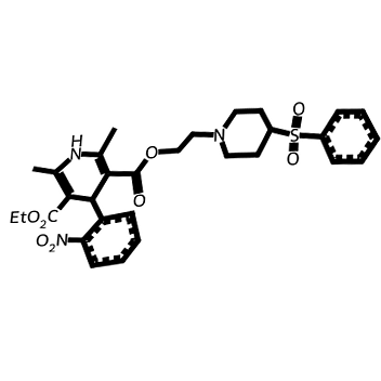 CCOC(=O)C1=C(C)NC(C)=C(C(=O)OCCN2CCC(S(=O)(=O)c3ccccc3)CC2)C1c1ccccc1[N+](=O)[O-]